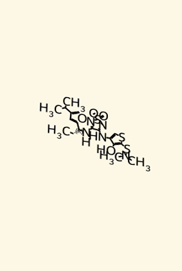 CC[C@@H](NC1=NS(=O)(=O)N=C1Nc1csc(SN(C)C)c1O)c1cc(C(C)C)co1